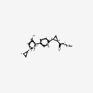 CC(C)(C)OC(=O)C1CC1c1ccc(-c2nn(C3CC3)cc2I)cn1